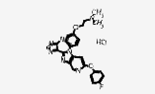 CN(C)CCOc1ccc(-n2c(-c3nonc3N)nc3cnc(Oc4ccc(F)cc4)cc32)cc1.Cl